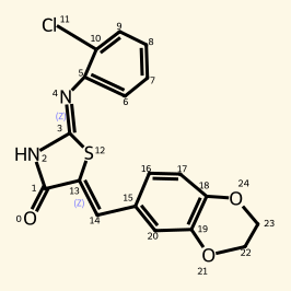 O=C1N/C(=N/c2ccccc2Cl)S/C1=C\c1ccc2c(c1)OCCO2